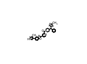 Cc1nnn(C(c2ccccc2)C2CCN(C(=O)c3cc(-c4nc5cc(-c6c[nH]nc6C)ccc5o4)ccn3)CC2)n1